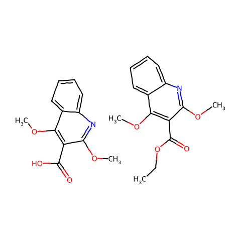 CCOC(=O)c1c(OC)nc2ccccc2c1OC.COc1nc2ccccc2c(OC)c1C(=O)O